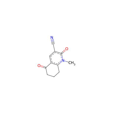 Cn1c2c(cc(C#N)c1=O)C(=O)CCC2